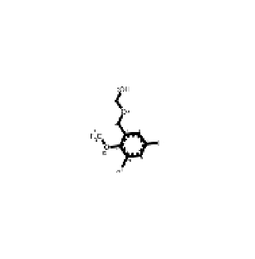 OCOCc1cc(I)cc(I)c1OC(F)(F)F